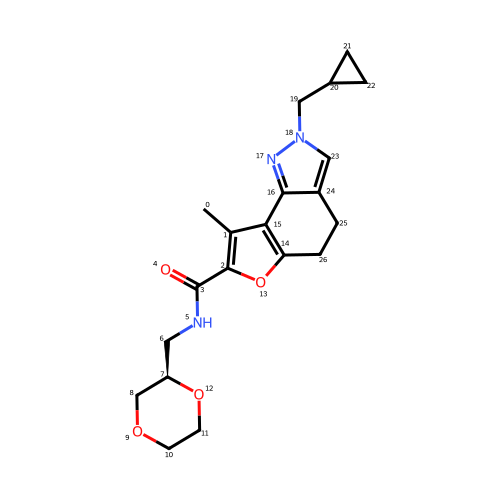 Cc1c(C(=O)NC[C@@H]2COCCO2)oc2c1-c1nn(CC3CC3)cc1CC2